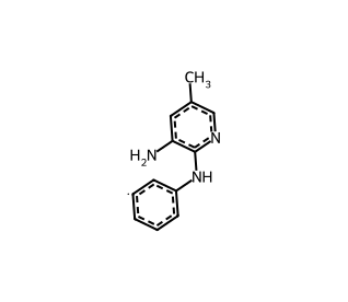 Cc1cnc(Nc2c[c]ccc2)c(N)c1